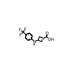 CN(c1ccc(C(F)(F)F)cc1)C1CN(C(=O)O)C1